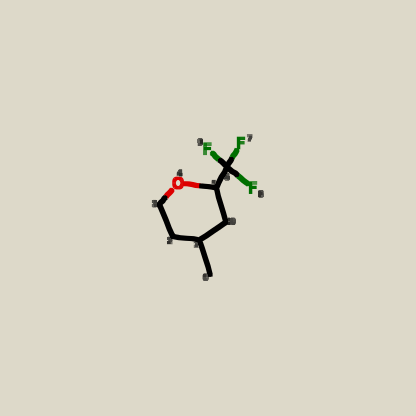 CC1CCOC(C(F)(F)F)C1